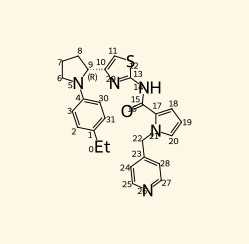 CCc1ccc(N2CCC[C@@H]2c2csc(NC(=O)c3cccn3Cc3ccncc3)n2)cc1